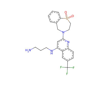 NCCCNc1cc(N2CCS(=O)(=O)c3ccccc3C2)nc2ccc(C(F)(F)F)cc12